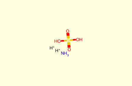 N.O=S(=O)(O)O.[H+].[H+]